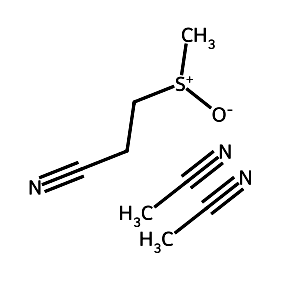 CC#N.CC#N.C[S+]([O-])CCC#N